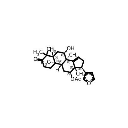 CC(=O)O[C@H]1C[C@@H]2[C@@]3(C)CCC(=O)C(C)(C)[C@@H]3C[C@@H](O)[C@@]2(C)C2=CC[C@@H](c3ccoc3)[C@@]21C